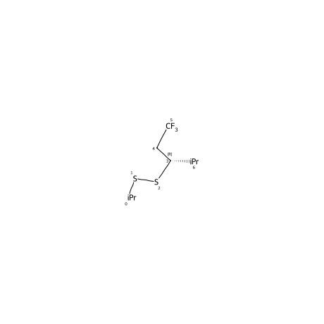 CC(C)SS[C@H](CC(F)(F)F)C(C)C